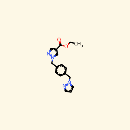 CCOC(=O)c1cnn(Cc2ccc(Cn3cccn3)cc2)c1